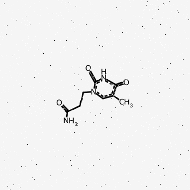 Cc1cn(CCC(N)=O)c(=O)[nH]c1=O